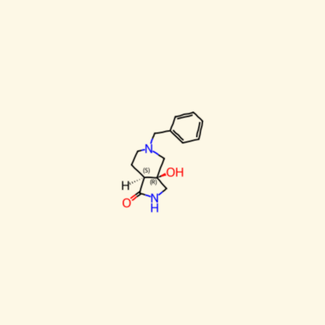 O=C1NC[C@@]2(O)CN(Cc3ccccc3)CC[C@H]12